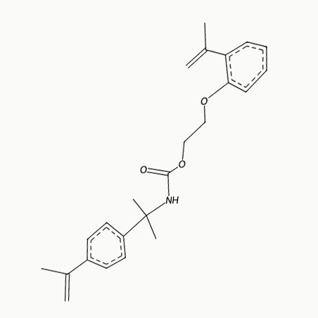 C=C(C)c1ccc(C(C)(C)NC(=O)OCCOc2ccccc2C(=C)C)cc1